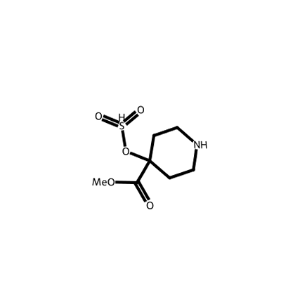 COC(=O)C1(O[SH](=O)=O)CCNCC1